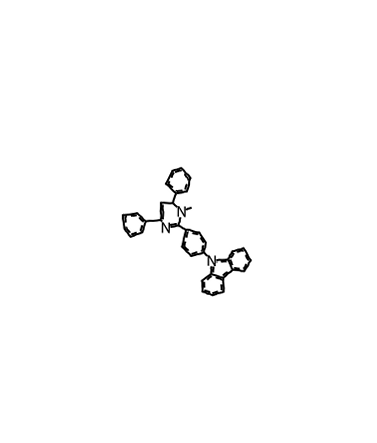 CN1C(c2ccc(-n3c4ccccc4c4ccccc43)cc2)=NC(c2ccccc2)=CC1c1ccccc1